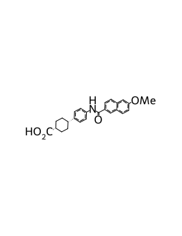 COc1ccc2cc(C(=O)Nc3ccc([C@H]4CC[C@@H](C(=O)O)CC4)cc3)ccc2c1